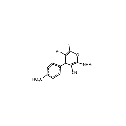 CC(=O)NC1=C(C#N)C(c2ccc(C(=O)O)cc2)C(C(C)=O)=C(C)O1